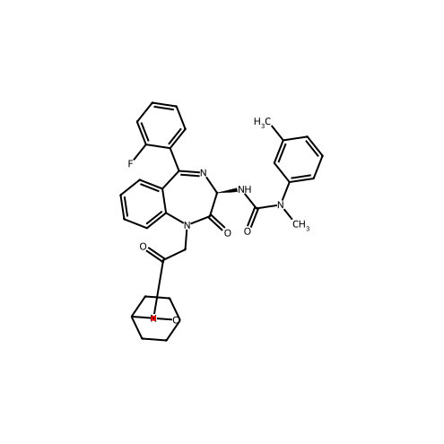 Cc1cccc(N(C)C(=O)N[C@@H]2N=C(c3ccccc3F)c3ccccc3N(CC(=O)N3CC4CCC(CC4)C3)C2=O)c1